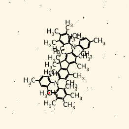 Cc1cc(C)c(N(c2c(C)c(C)c(C)c(C)c2C)c2c(C)c(C)c3c(c2C)C(C)(C)c2c(C)c(N(c4c(C)cc(C)cc4C)c4c(C)c(C)c(C)c(C)c4C)c(C)c(C)c2-3)c(C)c1